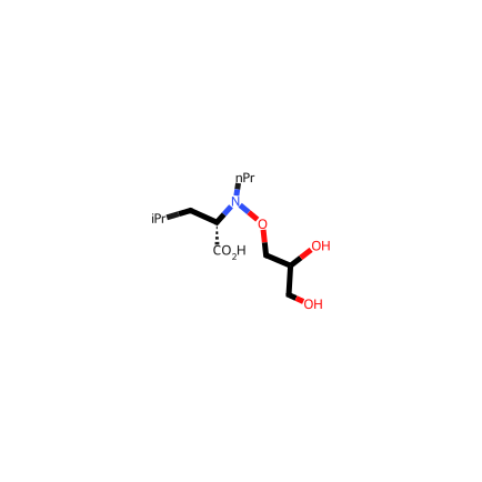 CCCN(OCC(O)CO)[C@@H](CC(C)C)C(=O)O